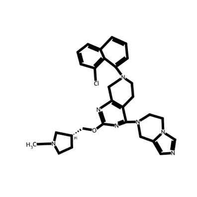 CN1CC[C@@H](COc2nc3c(c(N4CCn5cncc5C4)n2)CCN(c2cccc4cccc(Cl)c24)C3)C1